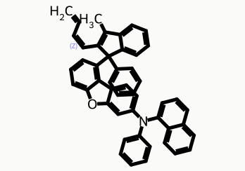 C=C/C=C\C1=C(C)c2ccccc2C1(c1ccccc1)c1cccc2oc3cc(N(c4ccccc4)c4cccc5ccccc45)ccc3c12